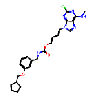 CNc1nc(Cl)nc2c1ncn2CCCCOC(=O)NCc1cccc(OCC2CCCC2)c1